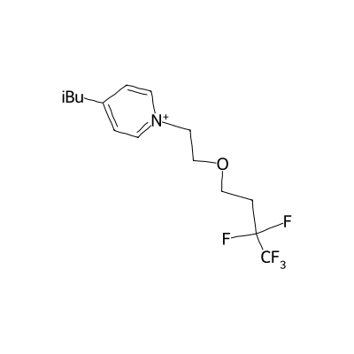 CCC(C)c1cc[n+](CCOCCC(F)(F)C(F)(F)F)cc1